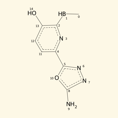 CBc1nc(-c2nnc(N)o2)ccc1O